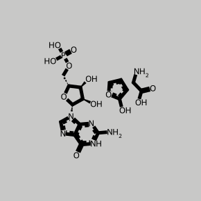 NCC(=O)O.Nc1nc2c(ncn2[C@@H]2O[C@H](COP(=O)(O)O)[C@@H](O)[C@H]2O)c(=O)[nH]1.Oc1ccco1